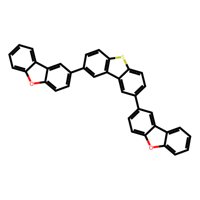 c1ccc2c(c1)oc1ccc(-c3ccc4sc5ccc(-c6ccc7oc8ccccc8c7c6)cc5c4c3)cc12